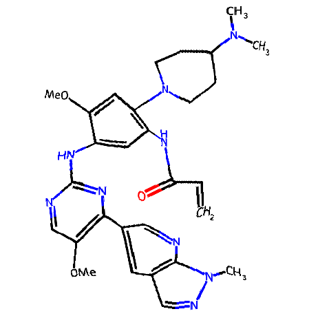 C=CC(=O)Nc1cc(Nc2ncc(OC)c(-c3cnc4c(cnn4C)c3)n2)c(OC)cc1N1CCC(N(C)C)CC1